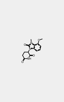 COc1cccc2c1n(C)c(=O)n2C1CCC(=O)NC1=O